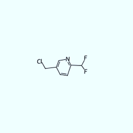 FC(F)c1ccc(CCl)cn1